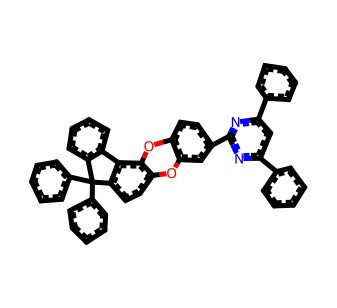 c1ccc(-c2cc(-c3ccccc3)nc(-c3ccc4c(c3)Oc3ccc5c(c3O4)-c3ccccc3C5(c3ccccc3)c3ccccc3)n2)cc1